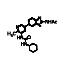 CC(=O)Nc1nc2ccc(-c3cnc(C)c(NC(=O)NC4CCCCC4)c3)cc2s1